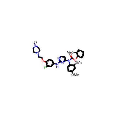 COc1ccc(N(C(=O)Oc2ccccc2SC)c2ccnc(Nc3ccc(OCCN4CCN(C(C)C)CC4)c(F)c3)n2)c(OC)c1